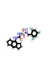 O=C(Nc1c2c(cc3c1CCC3)CCC2)NS(=O)(=O)NCc1c(F)cc(F)cc1F